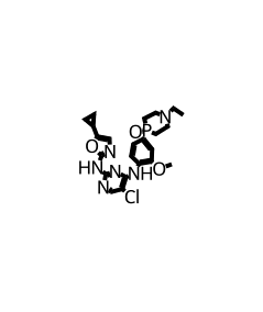 CCN1CCP(=O)(c2ccc(Nc3nc(Nc4ncc(C5CC5)o4)ncc3Cl)c(OC)c2)CC1